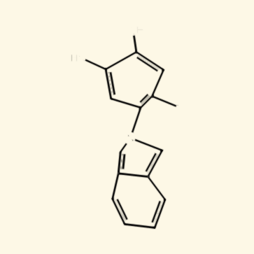 Cc1cc(F)c(-n2cc3ccccc3c2)cc1S